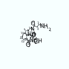 Cl.NCCC(=O)NCC1Cc2cccc3c(=O)[nH]c(=O)n1c23